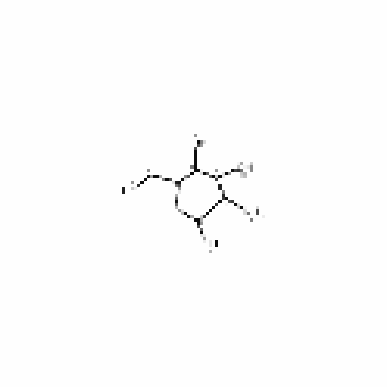 NC1C(O)SC(CO)C(O)C1O